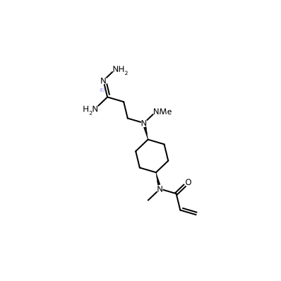 C=CC(=O)N(C)[C@H]1CC[C@@H](N(CC/C(N)=N\N)NC)CC1